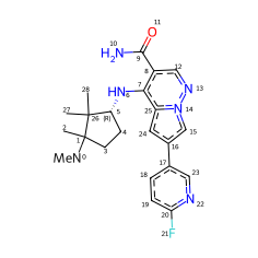 CNC1(C)CC[C@@H](Nc2c(C(N)=O)cnn3cc(-c4ccc(F)nc4)cc23)C1(C)C